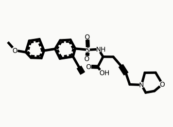 C#Cc1cc(-c2ccc(OC)cc2)ccc1S(=O)(=O)NC(CC#CCN1CCOCC1)C(=O)O